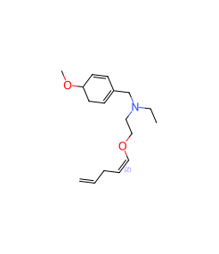 C=CC/C=C\OCCN(CC)CC1=CCC(OC)C=C1